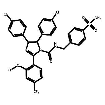 CCOc1cc(C(F)(F)F)ccc1C1=NC(c2ccc(Cl)cc2)C(c2ccc(Cl)cc2)N1C(=O)NCc1ccc(S(N)(=O)=O)cc1